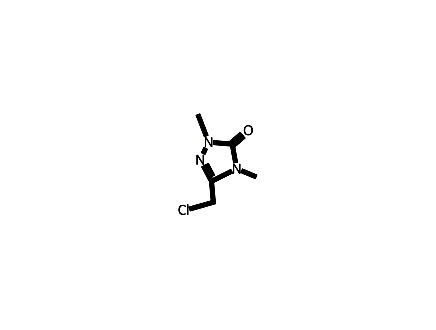 Cn1nc(CCl)n(C)c1=O